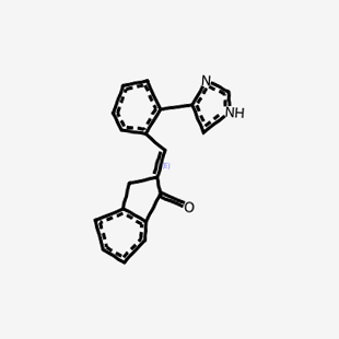 O=C1/C(=C/c2ccccc2-c2c[nH]cn2)Cc2ccccc21